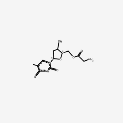 Cc1cn([C@H]2CC(O)[C@@H](COC(=O)CN)O2)c(=O)[nH]c1=O